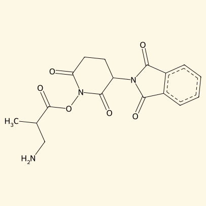 CC(CN)C(=O)ON1C(=O)CCC(N2C(=O)c3ccccc3C2=O)C1=O